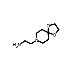 NCCN1CCC2(CC1)OCCO2